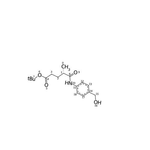 C[C@@H](CCC(=O)OC(C)(C)C)C(=O)Nc1ccc(CO)cc1